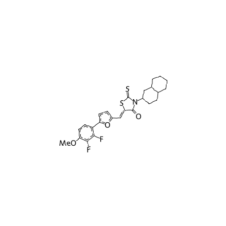 COc1ccc(-c2ccc(/C=C3\SC(=S)N(C4CCC5CCCCC5C4)C3=O)o2)c(F)c1F